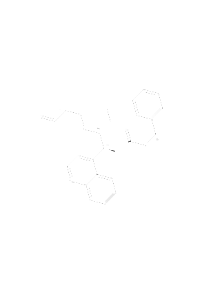 C=C[C@H](C)CN[C@H](CC)[C@@H](OC(=O)N[C@@H](C)c1ccccc1)c1ccnc2ccccc12